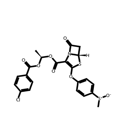 C[C@@H](OC(=O)C1=C(Oc2ccc([S+](C)[O-])cc2)S[C@H]2CC(=O)N12)OC(=O)c1ccc(Cl)cc1